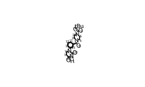 CC(C)(C)OC(=O)N1CCN(C(=O)c2cccc(N3CCC(=O)NC3=O)c2)CC1